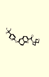 O=C(c1ccc2cc(Oc3ccc(C(F)(F)F)cn3)ccc2n1)N1CCC12COC2